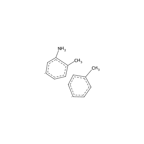 Cc1cc[c]cc1.Cc1cc[c]cc1N